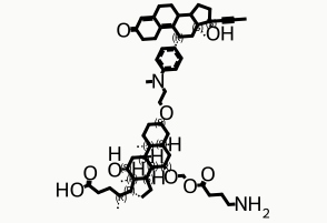 CC#C[C@]1(O)CCC2C3CCC4=CC(=O)CCC4=C3[C@@H](c3ccc(N(C)CCO[C@H]4CC[C@@]5(C)[C@@H](C4)C[C@@H](OCOC(=O)CCCN)[C@@H]4[C@@H]5C[C@H](O)[C@]5(C)[C@@H]([C@H](C)CCC(=O)O)CC[C@@H]45)cc3)C[C@@]21C